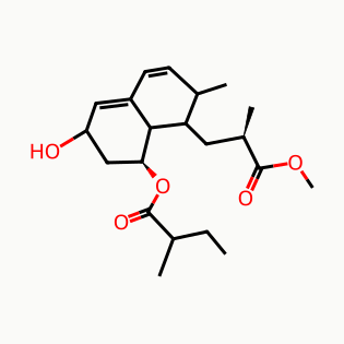 CCC(C)C(=O)O[C@H]1CC(O)C=C2C=CC(C)C(C[C@@H](C)C(=O)OC)C21